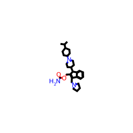 CC(C)C1CCC(N2CCC(C3C(COC(N)=O)=C(CN4CCCC4)c4ccccc43)CC2)CC1